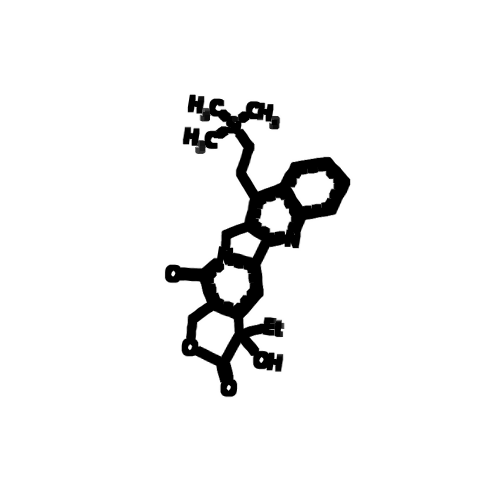 CCC1(O)C(=O)OCc2c1cc1n(c2=O)Cc2c-1nc1ccccc1c2CC[Si](C)(C)C